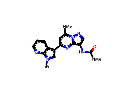 CNC(=O)Nc1cnn2c(NC)cc(-c3cn(C(C)C)c4ncccc34)nc12